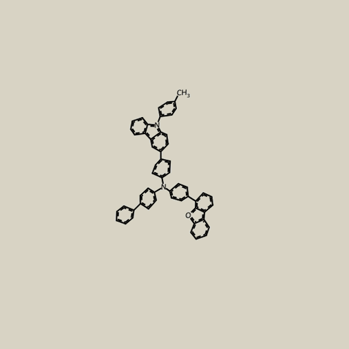 Cc1ccc(-n2c3ccccc3c3cc(-c4ccc(N(c5ccc(-c6ccccc6)cc5)c5ccc(-c6cccc7c6oc6ccccc67)cc5)cc4)ccc32)cc1